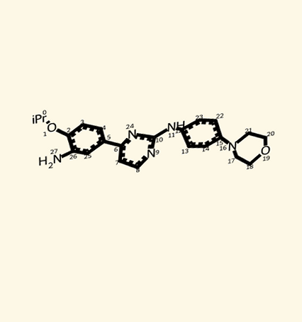 CC(C)Oc1ccc(-c2ccnc(Nc3ccc(N4CCOCC4)cc3)n2)cc1N